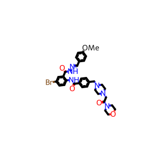 COc1ccc(/C=N/NC(=O)c2cc(Br)ccc2NC(=O)c2ccc(CN3CCN(CC(=O)N4CCOCC4)CC3)cc2)cc1